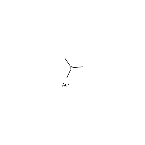 CP(C)C.[Au+]